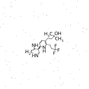 C=C(N)/C(C=N)=C1\C=CC(CCC(C)(C)O)=C(CCC(F)(F)F)N1